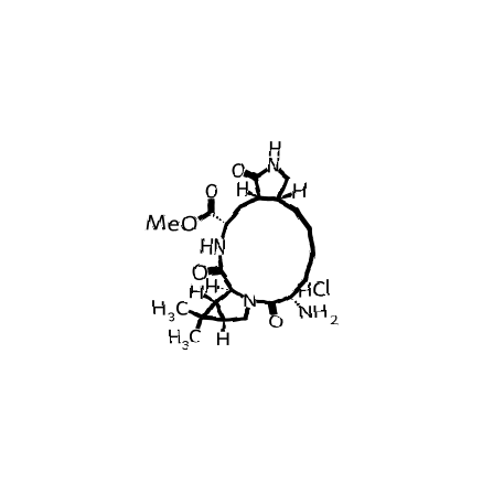 COC(=O)[C@@H]1C[C@@H]2C(=O)NC[C@@H]2CCCC[C@H](N)C(=O)N2C[C@H]3[C@@H]([C@H]2C(=O)N1)C3(C)C.Cl